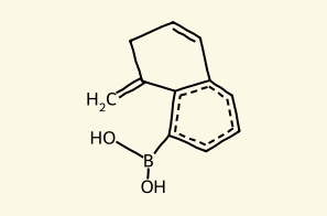 C=C1CC=Cc2cccc(B(O)O)c21